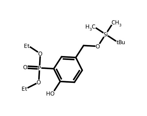 CCOP(=O)(OCC)c1cc(CO[Si](C)(C)C(C)(C)C)ccc1O